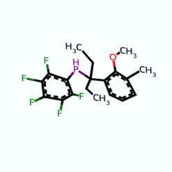 CCC(CC)(Pc1c(F)c(F)c(F)c(F)c1F)c1cccc(C)c1OC